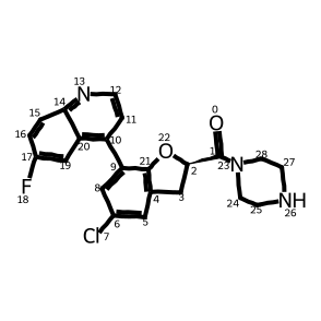 O=C([C@H]1Cc2cc(Cl)cc(-c3ccnc4ccc(F)cc34)c2O1)N1CCNCC1